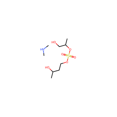 CC(O)CCOS(=O)(=O)OC(C)CO.CNC